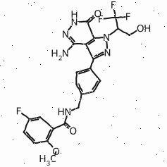 COc1ccc(F)cc1C(=O)NCc1ccc(-c2nn(C(CO)C(F)(F)F)c3c(=O)[nH]nc(N)c23)cc1